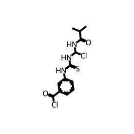 CC(C)C(=O)NC(Cl)NC(=S)Nc1cccc(C(=O)Cl)c1